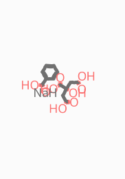 O=C(O)CC(O)(CC(=O)O)C(=O)O.O=C(O)c1ccccc1.[NaH]